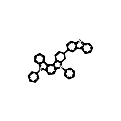 C1=CC(c2ccc3sc4ccccc4c3c2)Cc2c1c1c3c4ccccc4n(-c4ccccc4)c3ccc1n2-c1ccccc1